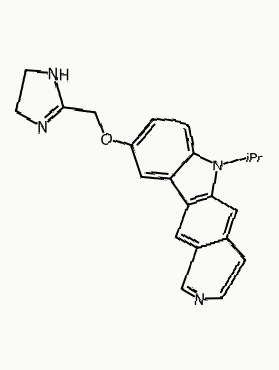 CC(C)n1c2ccc(OCC3=NCCN3)cc2c2cc3cnccc3cc21